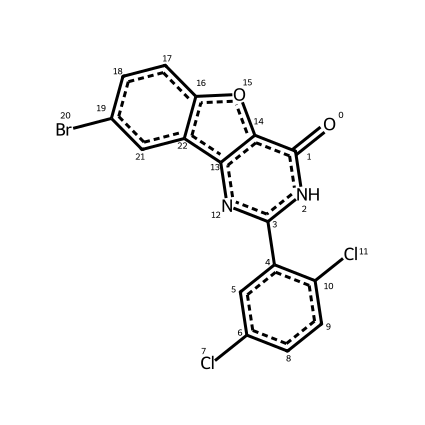 O=c1[nH]c(-c2cc(Cl)ccc2Cl)nc2c1oc1ccc(Br)cc12